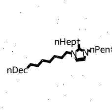 CCCCCCCCCCCCCCCCCN1C=CN(CCCCC)C1CCCCCCC